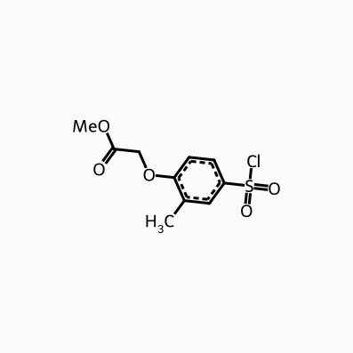 COC(=O)COc1ccc(S(=O)(=O)Cl)cc1C